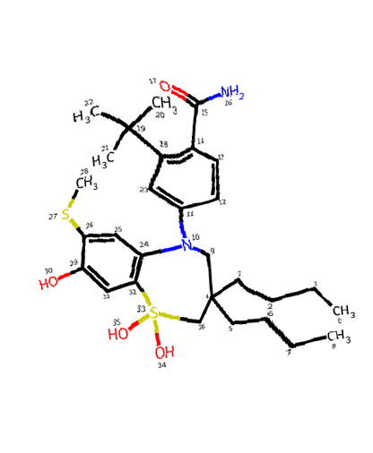 CCCCC1(CCCC)CN(c2ccc(C(N)=O)c(C(C)(C)C)c2)c2cc(SC)c(O)cc2S(O)(O)C1